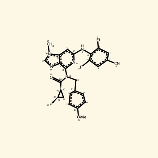 CCc1cc(C#N)cc(F)c1Nc1cc2c(ncn2C)c(N(Cc2ccc(OC)cc2)C(=O)[C@H]2C[C@H]2F)n1